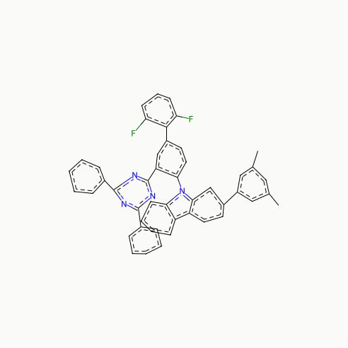 Cc1cc(C)cc(-c2ccc3c4ccccc4n(-c4ccc(-c5c(F)cccc5F)cc4-c4nc(-c5ccccc5)nc(-c5ccccc5)n4)c3c2)c1